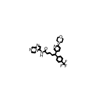 O=C(C=CC=C(c1ccc(C(F)(F)F)cc1)c1ccc(N2CCOCC2)nc1)Nc1cnc2cnccn12